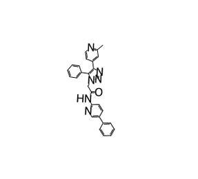 Cc1cc(-c2nnn(CC(=O)Nc3ccc(-c4ccccc4)cn3)c2-c2ccccc2)ccn1